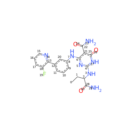 CCC(Nc1nc(Nc2cccc(-c3ncccc3F)c2)c(C(N)=O)c(=O)[nH]1)C(N)=O